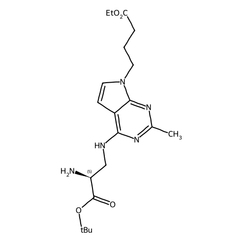 CCOC(=O)CCCn1ccc2c(NC[C@H](N)C(=O)OC(C)(C)C)nc(C)nc21